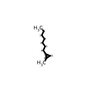 CCCCCCCC1=C(C)C1